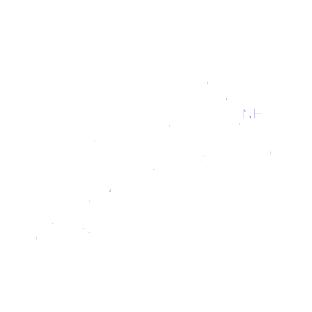 O=C1CC(c2ccc(OC3CCC(=O)NC3=O)cc2)C1